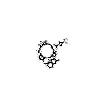 CN(C)C1CN(C(=O)O[C@H]2/C=C/CN(C)C(C)(C)C(=O)NS(=O)(=O)c3ccc4c(c3)N(C[C@@H]3CC[C@H]32)C[C@@]2(CCCc3cc(Cl)ccc32)CO4)C1